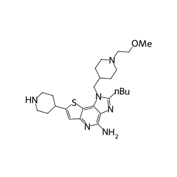 CCCCc1nc2c(N)nc3cc(C4CCNCC4)sc3c2n1CC1CCN(CCOC)CC1